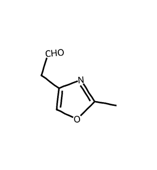 Cc1nc(CC=O)co1